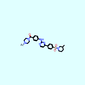 CC(=O)N1CCN(C(=O)c2ccc(Nc3nccc(-c4ccc(S(=O)(=O)N5CCCC(C)C5)cc4)n3)cc2)CC1